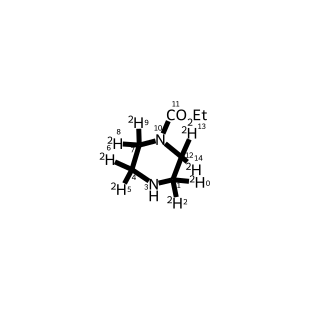 [2H]C1([2H])NC([2H])([2H])C([2H])([2H])N(C(=O)OCC)C1([2H])[2H]